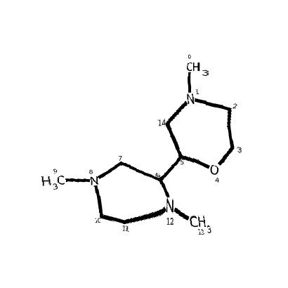 CN1CCOC(C2CN(C)CCN2C)C1